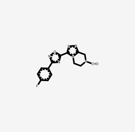 O=CN1CCn2c(nnc2-c2nc(-c3ccc(F)cc3)no2)C1